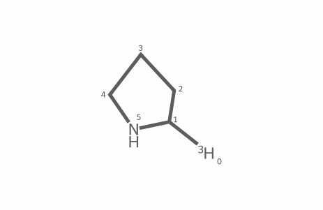 [3H]C1CCCN1